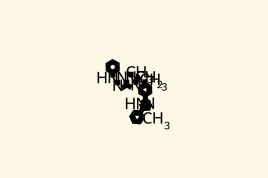 C=C1N(C)c2nc(NC3CCCCC3)ncc2CN1c1cc(-c2ncc(-c3ccccc3C)[nH]2)ccc1C